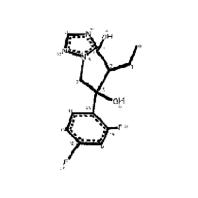 CCC(CO)C(O)(Cn1cncn1)c1ccc(F)cc1F